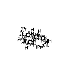 CC(C)CCC(C)Nc1ccc(Nc2nc(Nc3ccc(NC(C)CCC(C)C)cc3)nc(Nc3ccc(NC(C)CCC(C)C)cc3)n2)cc1